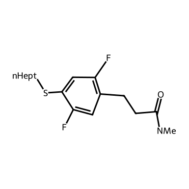 CCCCCCCSc1cc(F)c(CCC(=O)NC)cc1F